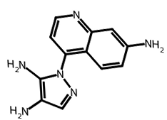 Nc1ccc2c(-n3ncc(N)c3N)ccnc2c1